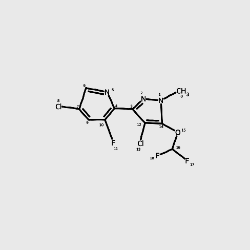 Cn1nc(-c2ncc(Cl)cc2F)c(Cl)c1OC(F)F